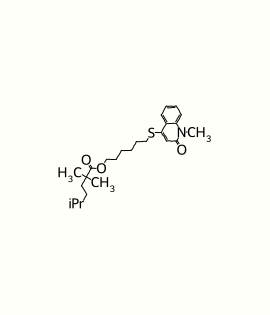 CC(C)CCC(C)(C)C(=O)OCCCCCCSc1cc(=O)n(C)c2ccccc12